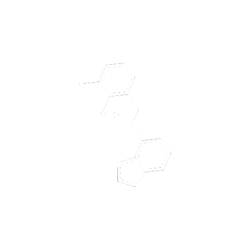 CCOC(=O)c1c(F)cccc1CSc1cccc2ccsc12